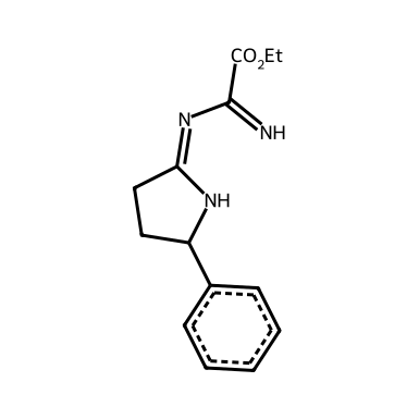 CCOC(=O)C(=N)/N=C1/CCC(c2ccccc2)N1